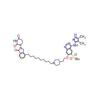 Cc1[nH]nc(Nc2ncnc3cc(OCCC4CCN(CCCCCCCCCCc5cccc6c5CN([C@H]5CCC(=O)NC5=O)C6=O)CC4)c(S(=O)(=O)C(C)(C)C)cc23)c1C